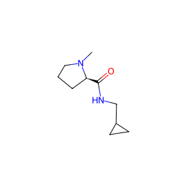 CN1CCC[C@@H]1C(=O)NCC1CC1